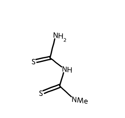 CNC(=S)NC(N)=S